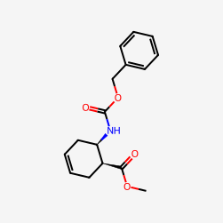 COC(=O)[C@H]1CC=CC[C@H]1NC(=O)OCc1ccccc1